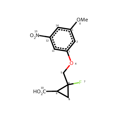 COc1cc(OCC2(F)CC2C(=O)O)cc([N+](=O)[O-])c1